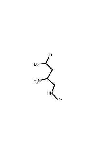 CCC(CC)CC(N)CNC(C)C